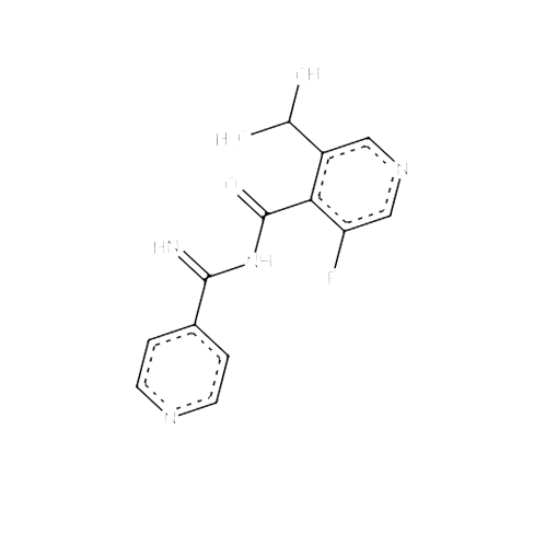 CC(C)c1cncc(F)c1C(=O)NC(=N)c1ccncc1